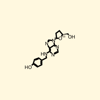 OC[C@@H]1CC[C@H](n2cnc3c(NCc4ccc(O)cc4)ncnc32)O1